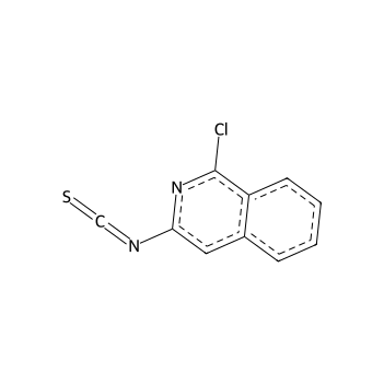 S=C=Nc1cc2ccccc2c(Cl)n1